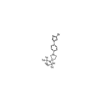 [2H]C([2H])([2H])N([C@@H]1CCN(c2ccc(-n3cnc(Br)c3)cc2)C1)C([2H])([2H])[2H]